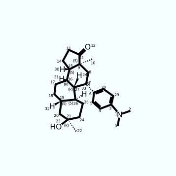 CN(C)c1ccc([C@H]2C[C@]3(C)C(=O)CC[C@H]3[C@@H]3CC[C@H]4C[C@](C)(O)CC[C@@H]4[C@H]32)cc1